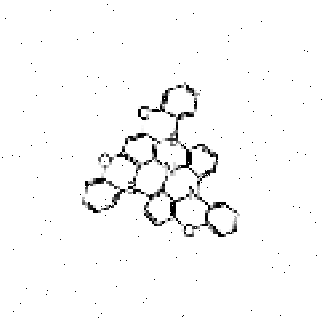 c1ccc2c(c1)Oc1cc3c4c5c1B2c1cccc2c1N5c1c(ccc5c1N2c1ccccc1O5)B4c1ccccc1O3